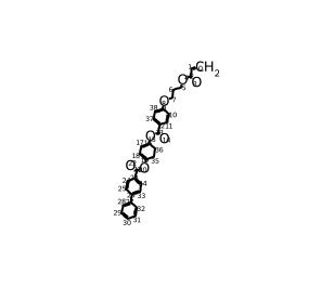 C=CC(=O)OCCCOc1ccc(C(=O)OC2=CC=C(OC(=O)c3ccc(-c4ccccc4)cc3)CC2)cc1